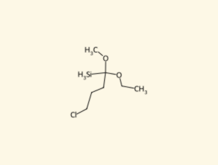 CCOC([SiH3])(CCCCl)OC